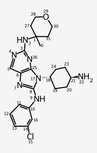 CC1(Nc2ncc3nc(Nc4cccc(Cl)c4)n([C@H]4CC[C@H](N)CC4)c3n2)CCOCC1